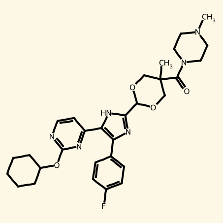 CN1CCN(C(=O)C2(C)COC(c3nc(-c4ccc(F)cc4)c(-c4ccnc(OC5CCCCC5)n4)[nH]3)OC2)CC1